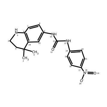 CC1(C)CCNc2ccc(NC(=O)Nc3ccc([N+](=O)[O-])cc3)cc21